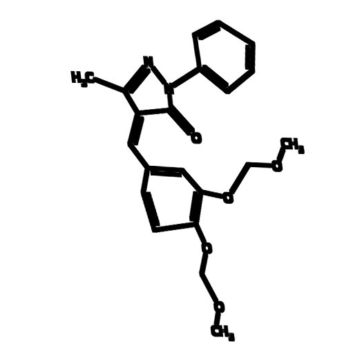 COCOc1ccc(/C=C2\C(=O)N(c3ccccc3)N=C2C)cc1OCOC